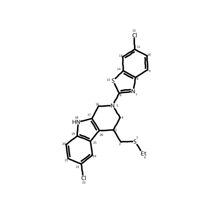 CCSCC1CN(c2nc3ccc(Cl)cc3s2)Cc2[nH]c3ccc(Cl)cc3c21